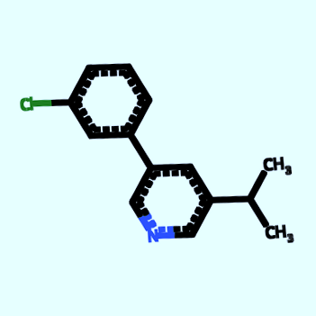 CC(C)c1cncc(-c2cccc(Cl)c2)c1